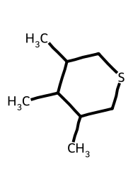 CC1CSCC(C)C1C